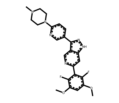 COc1cc(OC)c(F)c(-c2cc3[nH]nc(-c4ccc(N5CCN(C)CC5)nc4)c3cn2)c1F